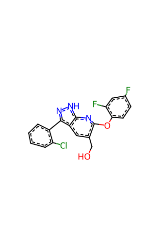 OCc1cc2c(-c3ccccc3Cl)n[nH]c2nc1Oc1ccc(F)cc1F